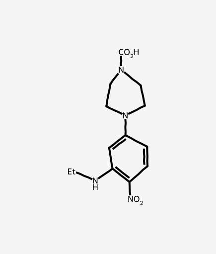 CCNc1cc(N2CCN(C(=O)O)CC2)ccc1[N+](=O)[O-]